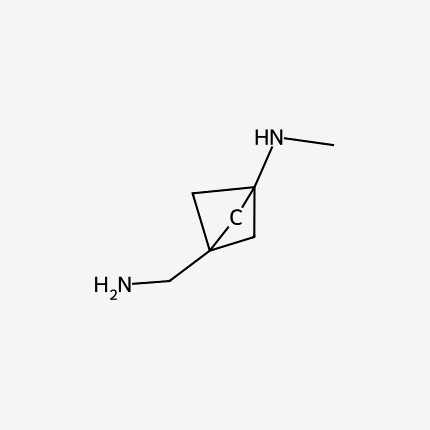 CNC12CC(CN)(C1)C2